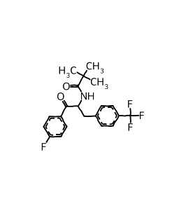 CC(C)(C)C(=O)NC(Cc1ccc(C(F)(F)F)cc1)C(=O)c1ccc(F)cc1